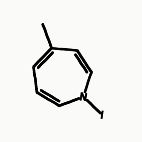 CC1=CC=CN(I)C=C1